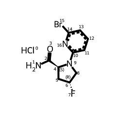 Cl.NC(=O)[C@@H]1C[C@@H](F)CN1c1cccc(Br)n1